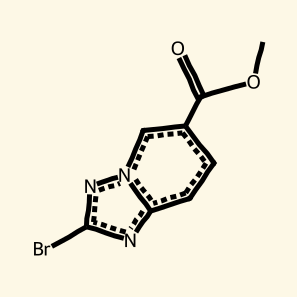 COC(=O)c1ccc2nc(Br)nn2c1